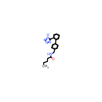 CCCCC(=O)NCc1ccc(-c2ccccc2-c2nnn[nH]2)cc1